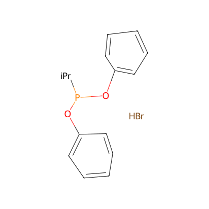 Br.CC(C)P(Oc1ccccc1)Oc1ccccc1